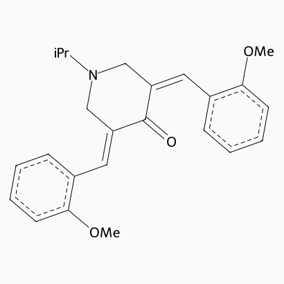 COc1ccccc1C=C1CN(C(C)C)CC(=Cc2ccccc2OC)C1=O